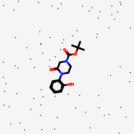 CC(C)(C)OC(=O)N1CCN(c2ccccc2O)C(=O)C1